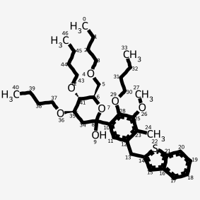 CCCCOC[C@H]1OC(O)(c2cc(Cc3cc4ccccc4s3)c(C)c(OC)c2OCCCC)C[C@@H](OCCCC)[C@@H]1OCCCC